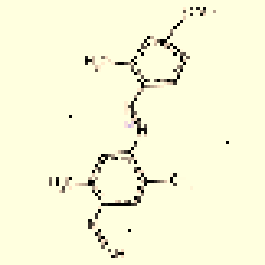 COc1ccc(/N=N/c2cc(C)c(N=N)cc2C)c(C)c1